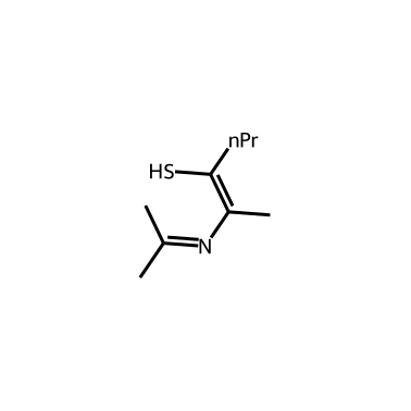 CCC/C(S)=C(\C)N=C(C)C